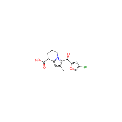 Cc1cc2n(c1C(=O)c1cc(Br)co1)CCCC2C(=O)O